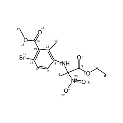 CCOC(=O)C(C)(Nc1ccc(Br)c(C(=O)OC)c1C)[N+](=O)[O-]